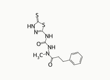 CN(NC(=O)Nc1n[nH]c(=S)s1)C(=O)CCc1ccccc1